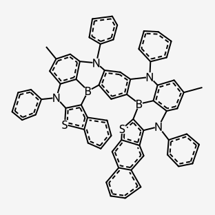 Cc1cc2c3c(c1)N(c1ccccc1)c1sc4ccccc4c1B3c1cc3c(cc1N2c1ccccc1)N(c1ccccc1)c1cc(C)cc2c1B3c1sc3cc4ccccc4cc3c1N2c1ccccc1